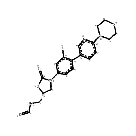 O=CNC[C@H]1CN(c2ccc(-c3ccc(N4CCSCC4)nc3)c(F)c2)C(=O)O1